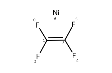 FC(F)=C(F)F.[Ni]